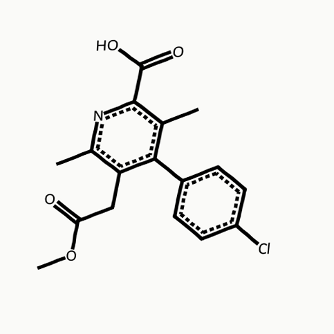 COC(=O)Cc1c(C)nc(C(=O)O)c(C)c1-c1ccc(Cl)cc1